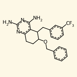 Nc1nc(N)c2c(n1)CCC(OCc1ccccc1)C2Cc1cccc(C(F)(F)F)c1